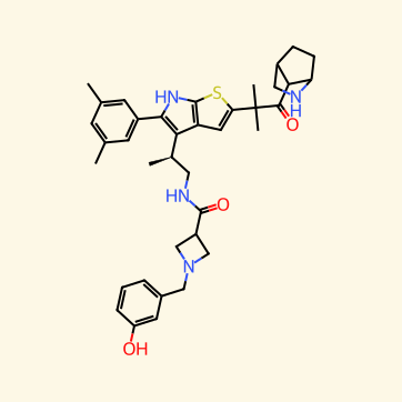 Cc1cc(C)cc(-c2[nH]c3sc(C(C)(C)C(=O)C4C5CCC4NC5)cc3c2[C@H](C)CNC(=O)C2CN(Cc3cccc(O)c3)C2)c1